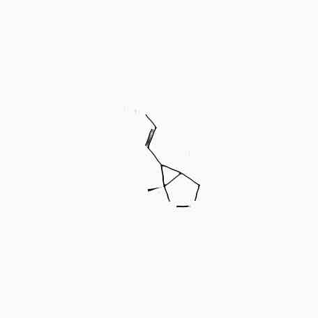 CCCCCC=CC1[C@H]2COO[C@]12C(=O)O